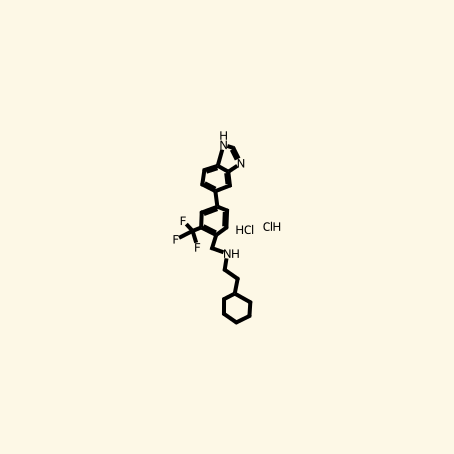 Cl.Cl.FC(F)(F)c1cc(-c2ccc3[nH]cnc3c2)ccc1CNCCC1CCCCC1